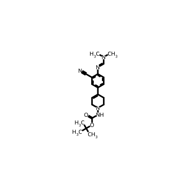 CN(C)C=Nc1ccc(C2=CCN(NC(=O)OC(C)(C)C)CC2)cc1C#N